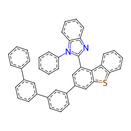 c1ccc(-c2cccc(-c3cccc(-c4cc(-c5nc6ccccc6n5-c5ccccc5)c5c(c4)sc4ccccc45)c3)c2)cc1